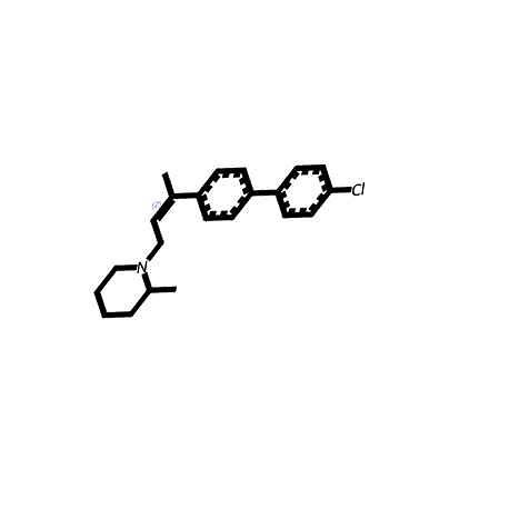 C/C(=C/CN1CCCCC1C)c1ccc(-c2ccc(Cl)cc2)cc1